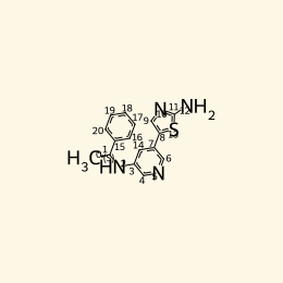 C[C@H](Nc1cncc(-c2cnc(N)s2)c1)c1ccccc1